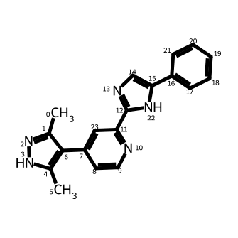 Cc1n[nH]c(C)c1-c1ccnc(-c2ncc(-c3ccccc3)[nH]2)c1